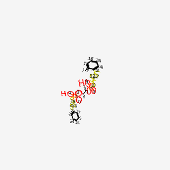 O=P(O)(OCCOP(=O)(O)SSSc1ccccc1)SSSc1ccccc1